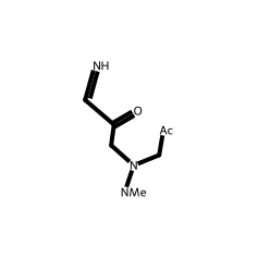 CNN(CC(C)=O)CC(=O)C=N